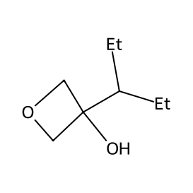 CCC(CC)C1(O)COC1